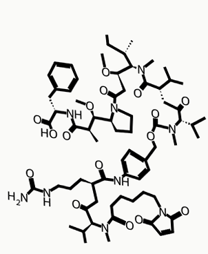 CC[C@H](C)[C@@H]([C@@H](CC(=O)N1CCC[C@H]1[C@H](OC)[C@@H](C)C(=O)N[C@@H](Cc1ccccc1)C(=O)O)OC)N(C)C(=O)[C@@H](CC(=O)[C@H](C(C)C)N(C)C(=O)OCc1ccc(NC(=O)[C@H](CCCNC(N)=O)CC(=O)[C@H](C(C)C)N(C)C(=O)CCCCCN2C(=O)C=CC2=O)cc1)C(C)C